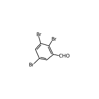 O=Cc1cc(Br)cc(Br)c1Br